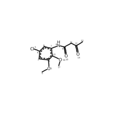 COc1cc(Cl)cc(NC(=O)CC(C)=O)c1OC